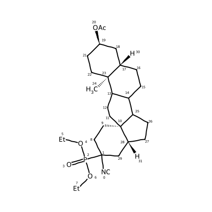 [C-]#[N+]C1(P(=O)(OCC)OCC)CC[C@]23CCC4C(CC[C@H]5C[C@H](OC(C)=O)CC[C@]45C)C2CC[C@@H]3C1